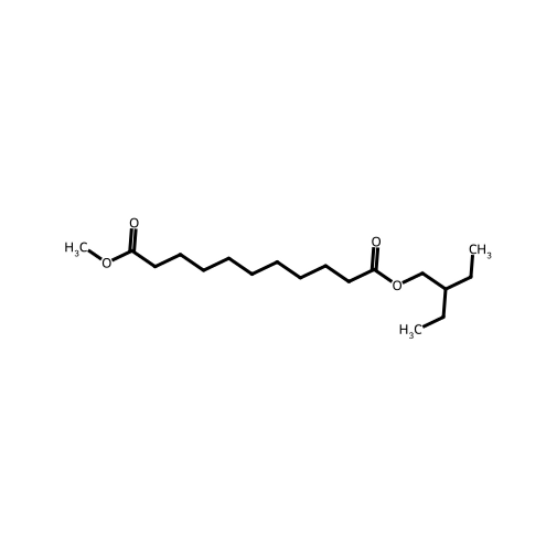 CCC(CC)COC(=O)CCCCCCCCCC(=O)OC